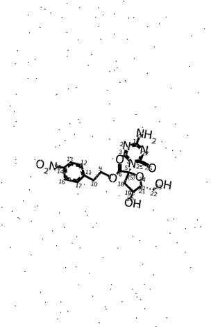 Nc1ncn([C@@]2(C(=O)OCCc3ccc([N+](=O)[O-])cc3)C[C@H](O)[C@@H](CO)O2)c(=O)n1